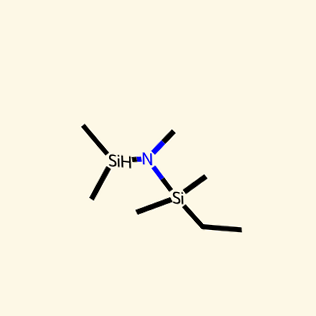 CC[Si](C)(C)N(C)[SiH](C)C